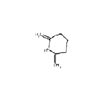 C=C1CCCC(=C)N1